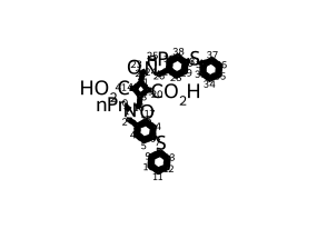 CCCN(Cc1ccc(Sc2ccccc2)cc1)C(=O)C1C(C(=O)O)C(C(=O)N(CCC)Cc2ccc(Sc3ccccc3)cc2)C1C(=O)O